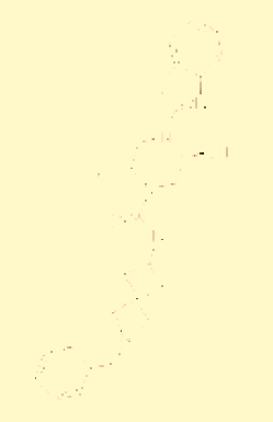 C[C@@H]1CN(c2nc3ccccc3s2)[C@@H](C)CN1C(=O)NC1CC2(C1)CN(Cc1ccccc1)C2